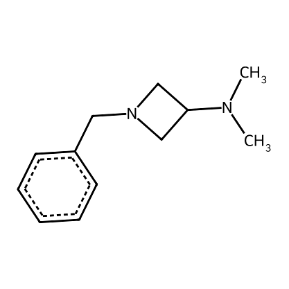 CN(C)C1CN(Cc2ccccc2)C1